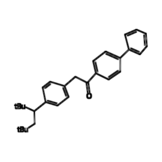 CC(C)(C)CC(c1ccc(CC(=O)c2ccc(-c3ccccc3)cc2)cc1)C(C)(C)C